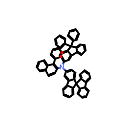 c1ccc(-c2c(N(c3ccc4c(c3)-c3ccccc3C4(c3ccccc3)c3ccccc3)c3ccc4c(c3)-c3ccccc3C43c4ccccc4-c4ccccc43)ccc3ccccc23)cc1